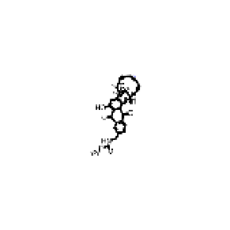 CCCOC(=O)NCc1ccc2c(c1)C(=O)c1c(O)cc3c(c1C2=O)N[C@H]1C#C/C=C\C#C[C@@H](C)[C@@]32O[C@@]12[C@@H](C)O